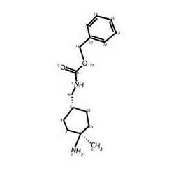 C[C@]1(N)CC[C@H](CNC(=O)OCc2ccccc2)CC1